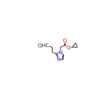 O=CCCc1nccn1CC(=O)OC1CC1